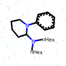 CCCCCCN(CCCCCC)C1CCCCN1c1ccccc1